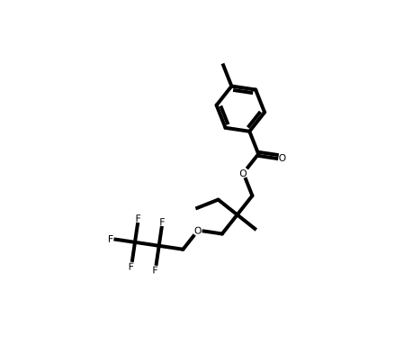 CCC(C)(COCC(F)(F)C(F)(F)F)COC(=O)c1ccc(C)cc1